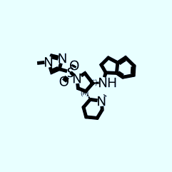 CN1CCCCC1[C@@H]1CN(S(=O)(=O)c2cn(C)cn2)C[C@H]1NC1CCc2ccccc21